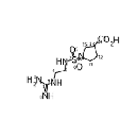 N=C(N)NCCNS(=O)(=O)N1CCC(C(=O)O)C1